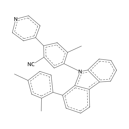 Cc1ccc(-c2cccc3c4ccccc4n(-c4cc(C#N)c(-c5ccncc5)cc4C)c23)c(C)c1